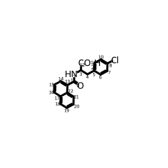 O=C(NC(Cc1ccc(Cl)cc1)C(=O)O)c1cccc2ccccc12